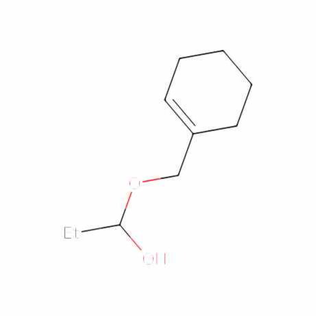 CCC(O)OCC1=CCCCC1